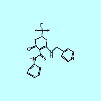 O=C1CC(C(F)(F)F)CC(NCc2ccncc2)=C1C(=S)Nc1ccccc1